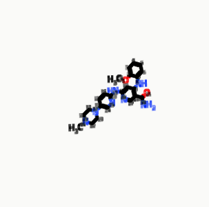 COc1ccccc1Nc1cc(Nc2ccc(N3CCN(C)CC3)cn2)ncc1C(N)=O